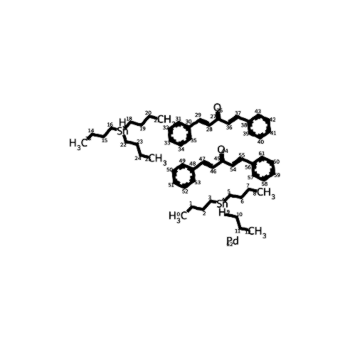 CCC[CH2][SnH]([CH2]CCC)[CH2]CCC.CCC[CH2][SnH]([CH2]CCC)[CH2]CCC.O=C(C=Cc1ccccc1)C=Cc1ccccc1.O=C(C=Cc1ccccc1)C=Cc1ccccc1.[Pd]